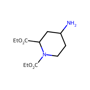 CCOC(=O)C1CC(N)CCN1C(=O)OCC